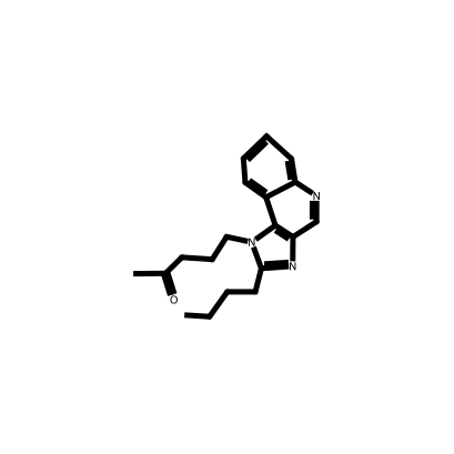 CCCCc1nc2cnc3ccccc3c2n1CCCC(C)=O